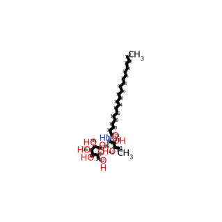 CCCCCCCCCCCCCCCCCCCCCCC(=O)N[C@@H](COC1OC(CO)C(O)C(O)C1O)[C@H](O)[C@H](O)CC